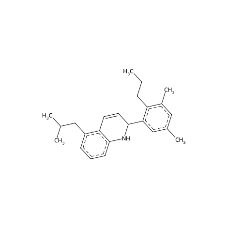 CCCc1c(C)cc(C)cc1C1C=Cc2c(CC(C)C)cccc2N1